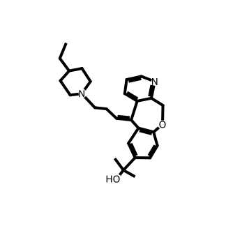 CCC1CCN(CC/C=C2/c3cc(C(C)(C)O)ccc3OCc3ncccc32)CC1